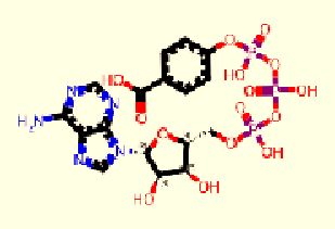 Nc1ncnc2c1ncn2[C@@H]1O[C@H](COP(=O)(O)OP(=O)(O)OP(=O)(O)Oc2ccc(C(=O)O)cc2)[C@@H](O)[C@H]1O